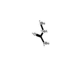 CCCCC(=O)NC(C)(C)C